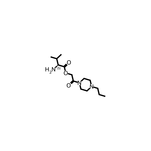 CCCN1CCN(C(=O)COC(=O)[C@@H](N)C(C)C)CC1